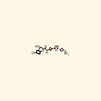 O=C(NC12CC(c3nnc([C@H]4C[C@@H](OC(F)(F)F)C4)o3)(C1)C2)[C@@H]1C[C@@H](O)c2cc(Cl)ccc2O1